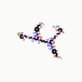 CSC1CC(=O)N(CCOCCNC(=O)CC(NC(=O)CCCC(=O)NC(CC(=O)NCCOCCN2C(=O)CC(SC)C2=O)C(=O)NC(=O)Nc2ccc(CC(C)=O)cc2)C(=O)NC(=O)Nc2ccc(CC(C)=O)cc2)C1=O